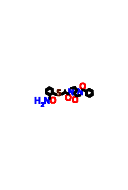 NC(=O)c1ccccc1CSC[CH]C(=O)N1CCC2C1C(=O)CN2C(=O)c1ccccc1